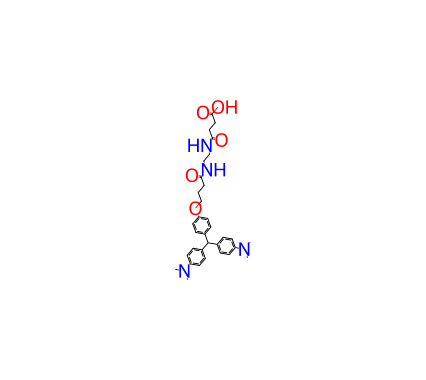 CN(C)c1ccc(C(c2ccc(OCCCC(=O)NCCNC(=O)CCC(=O)O)cc2)c2ccc(N(C)C)cc2)cc1